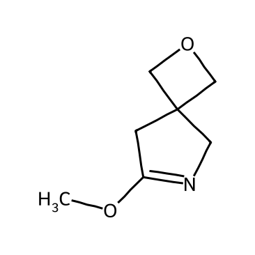 COC1=NCC2(COC2)C1